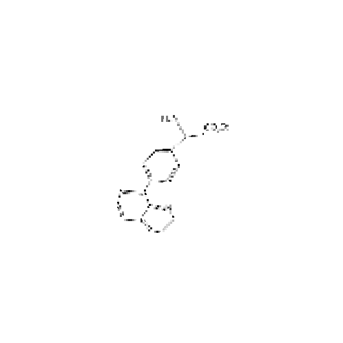 CCOC(=O)CC(N)c1ccc(-c2cccc3cccnc23)cc1